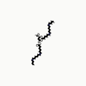 CCC/C=C\CCCC/C=C\CCCCC(=O)OC[C@H](CCN(C)C)OC(=O)CCCC/C=C\CCCC/C=C\CCC